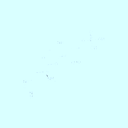 Cc1ncc(COP(=O)(O)O)c(C=O)c1OC(=O)[C@@H](N)Cc1c[nH]cn1